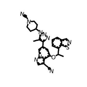 Cc1c(-c2cc(OC(C)c3cccc4cnsc34)c3c(C#N)cnn3c2)nnn1C1CCN(C#N)CC1